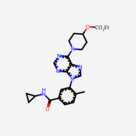 CCOC(=O)OC1CCN(c2ncnc3c2ncn3-c2cc(C(=O)NC3CC3)ccc2C)CC1